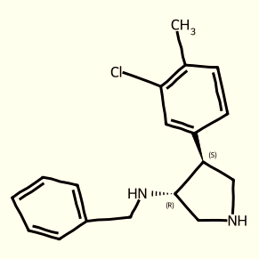 Cc1ccc([C@H]2CNC[C@@H]2NCc2ccccc2)cc1Cl